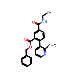 CC(C)CNC(=O)c1ccc(-c2cccnc2C=O)c(C(=O)OCc2ccccc2)c1